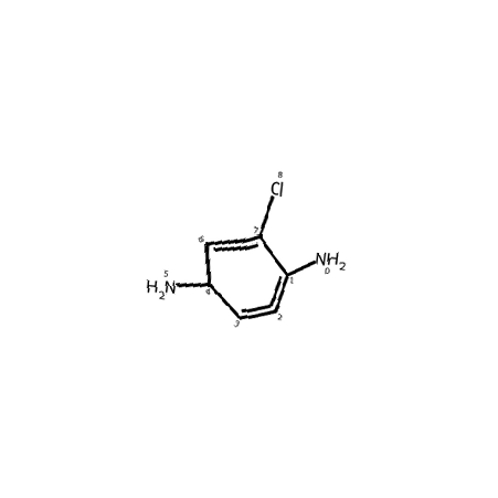 NC1=C=CC(N)C=C1Cl